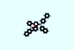 C1=CC(c2ccccc2-n2c3ccccc3c3cc4ccccc4cc32)CC=C1N(c1ccc(-c2ccccc2)cc1)c1ccc2ccccc2c1